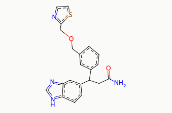 NC(=O)CC(c1cccc(COCc2nccs2)c1)c1ccc2[nH]cnc2c1